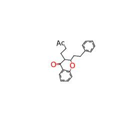 CC(=O)CCC1C(=O)c2ccccc2OC1CCc1ccccc1